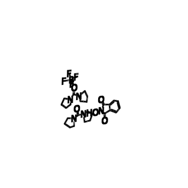 F[B-](F)(F)F.O=C(N1CCCC1)N1CCCC1.O=C(N1CCCC1)N1CCCC1.O=C1c2ccccc2C(=O)N1O